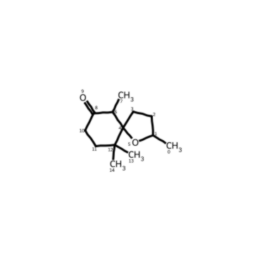 CC1CCC2(O1)C(C)C(=O)CCC2(C)C